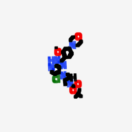 COc1cc(N2CCOCC2)ccc1-c1nc2c(N3C[C@@H]4C3CN4C(=O)OC(C)(C)C)c(Cl)cnc2[nH]1